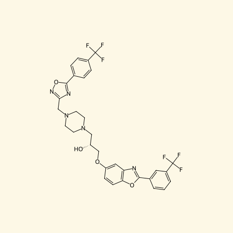 O[C@@H](COc1ccc2oc(-c3cccc(C(F)(F)F)c3)nc2c1)CN1CCN(Cc2noc(-c3ccc(C(F)(F)F)cc3)n2)CC1